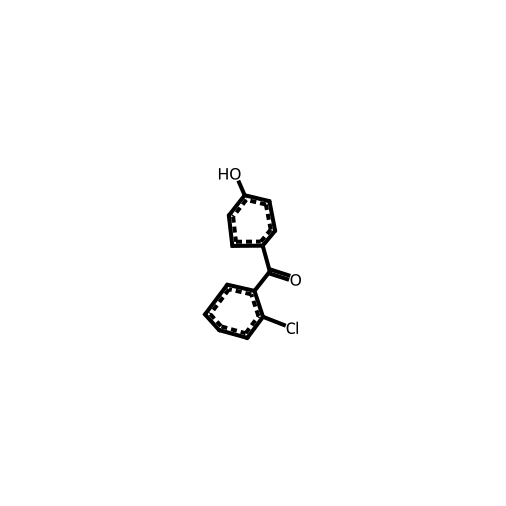 O=C(c1ccc(O)cc1)c1ccccc1Cl